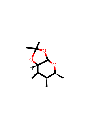 CC1[C@@H]2OC(C)(C)OC2O[C@@H](C)[C@H]1C